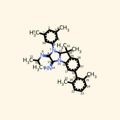 Cc1cc(C)cc(N2/C(=N/C(C)C)C(=N)N3c4cc(-c5c(C)cccc5C)ccc4C(C)(C)C32)c1